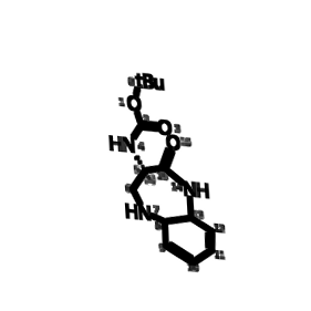 CC(C)(C)OC(=O)N[C@H]1CNC2C=CC=CC2NC1=O